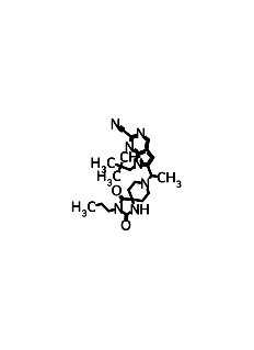 CCCN1C(=O)NC2(CCN(C(C)c3cc4cnc(C#N)nc4n3CC(C)(C)C)CC2)C1=O